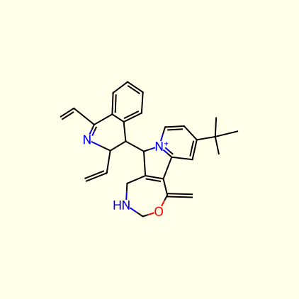 C=CC1=NC(C=C)C(C2C3=C(C(=C)OCNC3)c3cc(C(C)(C)C)cc[n+]32)c2ccccc21